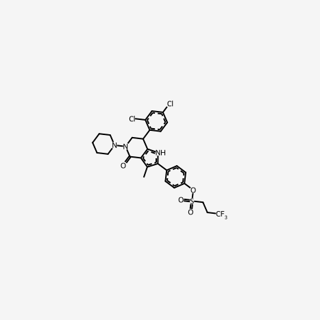 Cc1c(-c2ccc(OS(=O)(=O)CCC(F)(F)F)cc2)[nH]c2c1C(=O)N(N1CCCCC1)CC2c1ccc(Cl)cc1Cl